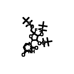 CC(C)(C)[Si](C)(C)OC[C@@]1(F)O[C@@H](n2ccc(=O)[nH]c2=O)C(O[Si](C)(C)C(C)(C)C)C1O[Si](C)(C)C(C)(C)C